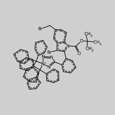 CC(C)(C)OC(=O)n1c(-c2ccccc2C2=N[N+](C(c3ccccc3)(c3ccccc3)c3ccccc3)(C(c3ccccc3)(c3ccccc3)c3ccccc3)N=N2)c(Br)c2cc(CBr)ccc21